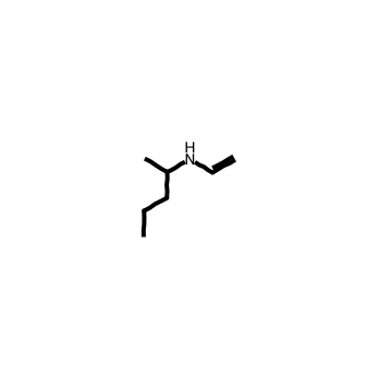 C=CNC(C)CCC